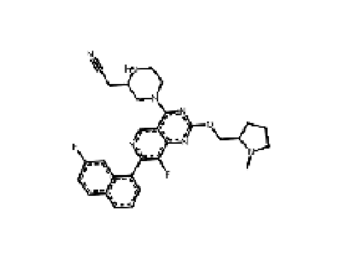 CN1CCCC1COc1nc(N2CCNC(CC#N)C2)c2cnc(-c3cccc4ccc(F)cc34)c(F)c2n1